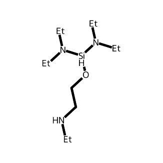 CCNCCO[SiH](N(CC)CC)N(CC)CC